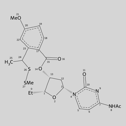 CC[C@H]1O[C@@H](n2ccc(NC(C)=O)nc2=O)C[C@H]1OC(=O)c1ccc(OC)cc1C(C)SSC